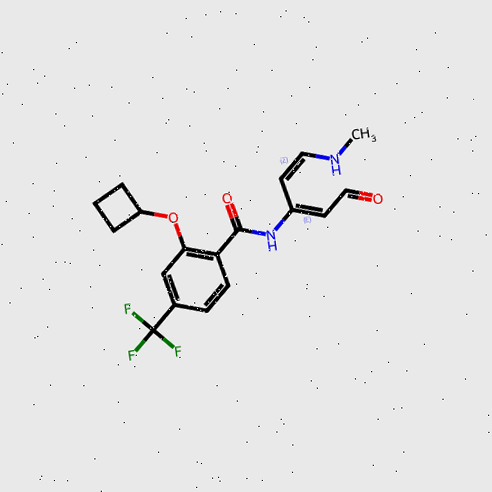 CN/C=C\C(=C/C=O)NC(=O)c1ccc(C(F)(F)F)cc1OC1CCC1